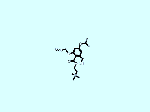 COCOc1cc(OC(F)F)cc(CS)c1C(=O)OCC[Si](C)(C)C